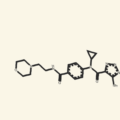 CCCc1[nH]nnc1C(=O)N(c1ccc(C(=O)NCCN2CCOCC2)cc1)C1CC1